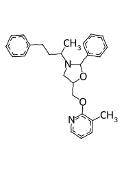 Cc1cccnc1OCC1CN(C(C)CCc2ccccc2)C(c2ccccc2)O1